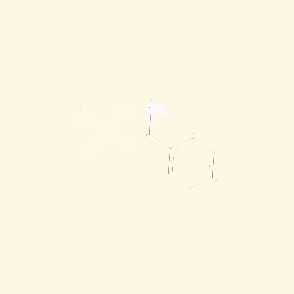 NC(OP(=O)(O)O)c1ccccc1